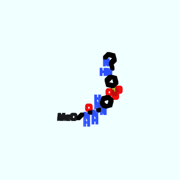 COCCNC(=O)Nc1nc2ccc(OS(=O)(=O)c3ccc(NCc4ccccn4)cc3)cc2[nH]1